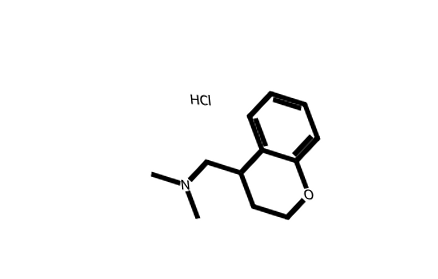 CN(C)CC1CCOc2ccccc21.Cl